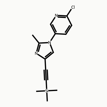 Cc1nc(C#C[Si](C)(C)C)cn1-c1ccc(Cl)nc1